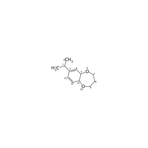 CC(C)C1=CC2OCCCOC2C=C1